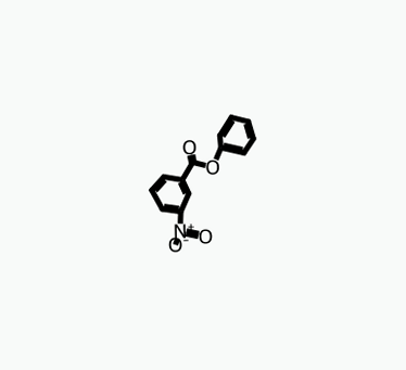 O=C(Oc1ccccc1)c1cccc([N+](=O)[O-])c1